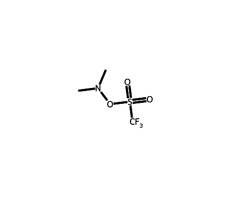 CN(C)OS(=O)(=O)C(F)(F)F